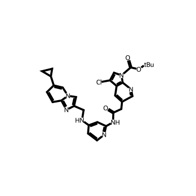 CC(C)(C)OC(=O)n1cc(Cl)c2cc(CC(=O)Nc3cc(NCc4cn5cc(C6CC6)ccc5n4)ccn3)cnc21